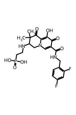 CC1(C)C(=O)c2c(O)c(=O)c(C(=O)NCc3ccc(F)cc3F)cn2CC1NCCP(=O)(O)O